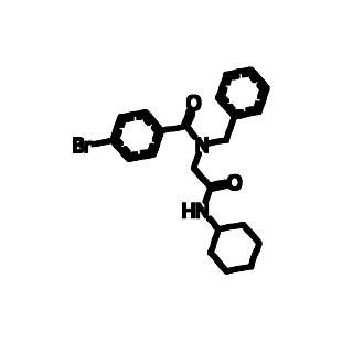 O=C(CN(Cc1ccccc1)C(=O)c1ccc(Br)cc1)NC1CCCCC1